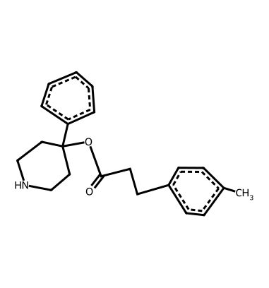 Cc1ccc(CCC(=O)OC2(c3ccccc3)CCNCC2)cc1